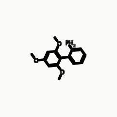 COc1cc(OC)c(-c2ccccc2P)c(OC)c1